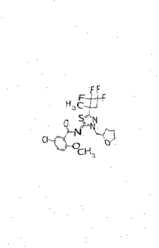 COc1ccc(Cl)cc1C(=O)/N=c1\sc(C2(C)CC(F)(F)C2(F)F)nn1C[C@H]1CCCO1